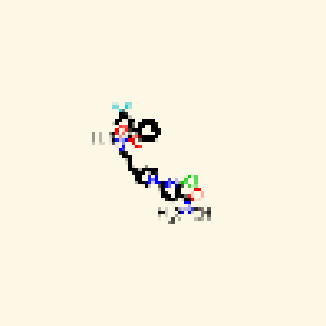 CN(C)C(=O)c1ccc(N2CCC(CCCN(C)C(=O)[C@@]3(c4ccccc4)CC(F)(F)CO3)CC2)nc1Cl